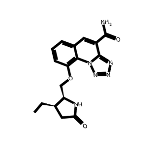 CC[C@@H]1CC(=O)N[C@@H]1COc1cccc2cc(C(N)=O)c3nnnn3c12